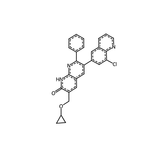 O=c1[nH]c2nc(-c3ccccc3)c(-c3cc(Cl)c4ncccc4c3)cc2cc1COC1CC1